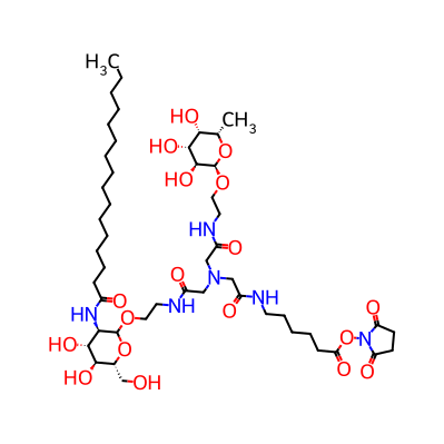 CCCCCCCCCCCCCCCC(=O)N[C@H]1C(OCCNC(=O)CN(CC(=O)NCCCCCC(=O)ON2C(=O)CCC2=O)CC(=O)NCCO[C@@H]2O[C@@H](C)[C@@H](O)[C@@H](O)[C@@H]2O)O[C@H](CO)[C@@H](O)[C@@H]1O